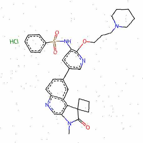 CN1C(=O)C2(CCC2)c2c1cnc1ccc(-c3cnc(OCCCN4CCCCC4)c(NS(=O)(=O)c4ccccc4)c3)cc21.Cl